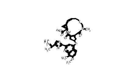 COc1ccc2c(OC3CC4C(=O)NC5(C(=O)O)CC5C=CCCCCN(C)C(=O)C4C3)cc(-c3nc(C(C)C)cs3)nc2c1C